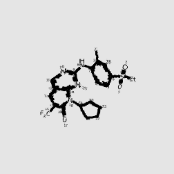 CCS(=O)(=O)c1ccc(Nc2ncc3cc(C(F)(F)F)c(=O)n(C4CCCC4)c3n2)c(C)c1